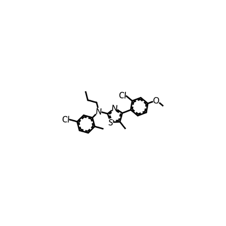 CCCN(c1nc(-c2ccc(OC)cc2Cl)c(C)s1)c1cc(Cl)ccc1C